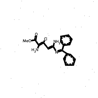 COC(=O)/C(N)=C(Cl)/C=C(\N)N=C(c1ccccc1)c1ccccc1